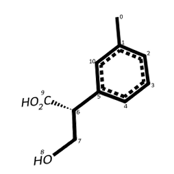 Cc1cccc([C@H](CO)C(=O)O)c1